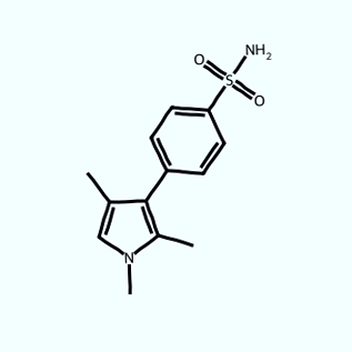 Cc1cn(C)c(C)c1-c1ccc(S(N)(=O)=O)cc1